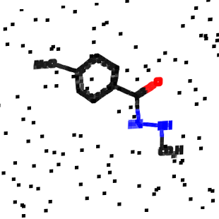 COc1ccc(C(=O)NNC(=O)O)cc1